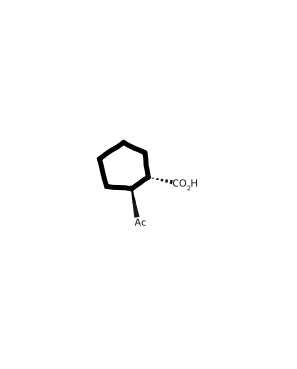 CC(=O)[C@H]1CCCC[C@@H]1C(=O)O